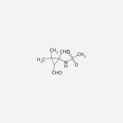 CC1(C)C([C]=O)C1([C]=O)NS(C)(=O)=O